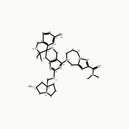 CN(C)C(=O)c1cc2n(n1)CCCN(c1nc(OC[C@@]34CCCN3C[C@H](F)C4)nc3c1COC1(C3)c3cc(Br)ccc3COC1(C)C)C2